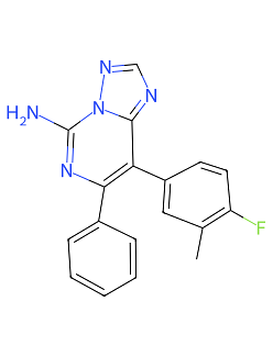 Cc1cc(-c2c(-c3ccccc3)nc(N)n3ncnc23)ccc1F